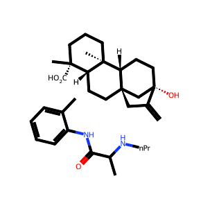 C=C1C[C@@]23CC[C@H]4[C@@](C)(CCC[C@@]4(C)C(=O)O)[C@@H]2CC[C@]1(O)C3.CCCNC(C)C(=O)Nc1ccccc1C